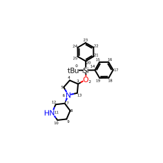 CC(C)(C)[Si](OC1CCN([C@H]2CCCNC2)C1)(c1ccccc1)c1ccccc1